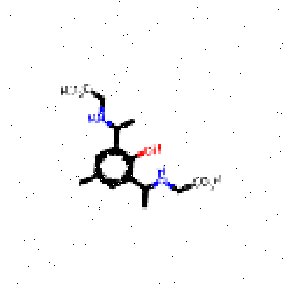 Cc1cc(C(C)NCC(=O)O)c(O)c(C(C)NCC(=O)O)c1